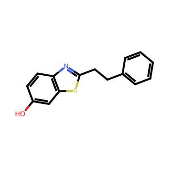 Oc1ccc2nc(CCc3ccccc3)sc2c1